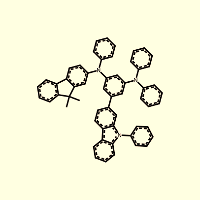 CC1(C)c2ccccc2-c2ccc(N(c3ccccc3)c3cc(-c4ccc5c6ccccc6n(-c6ccccc6)c5c4)cc(N(c4ccccc4)c4ccccc4)c3)cc21